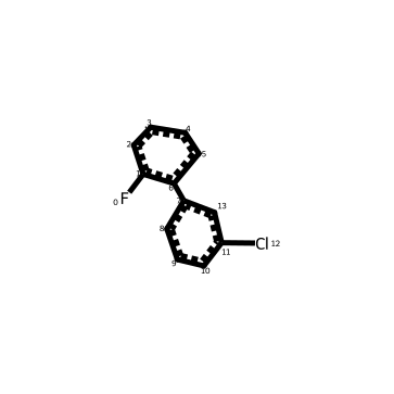 Fc1c[c]ccc1-c1cccc(Cl)c1